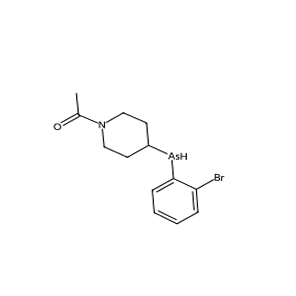 CC(=O)N1CCC([AsH]c2ccccc2Br)CC1